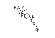 C[Si](C)(C)CCOCn1ncc2cc(NC3(C(N)=O)CCCCC3)ccc21